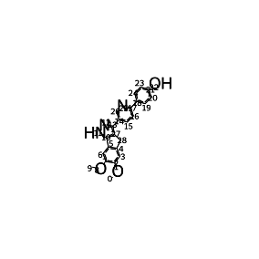 COc1cc2c(cc1OC)-c1[nH]nc(-c3ccc(-c4ccc(O)cc4)nc3)c1C2